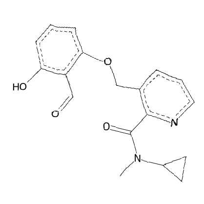 CN(C(=O)c1ncccc1COc1cccc(O)c1C=O)C1CC1